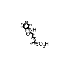 CC(SCCC(=O)Nc1cccnc1)C(=O)O